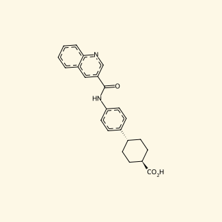 O=C(Nc1ccc([C@H]2CC[C@H](C(=O)O)CC2)cc1)c1cnc2ccccc2c1